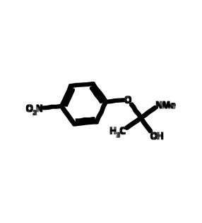 CNC(C)(O)Oc1ccc([N+](=O)[O-])cc1